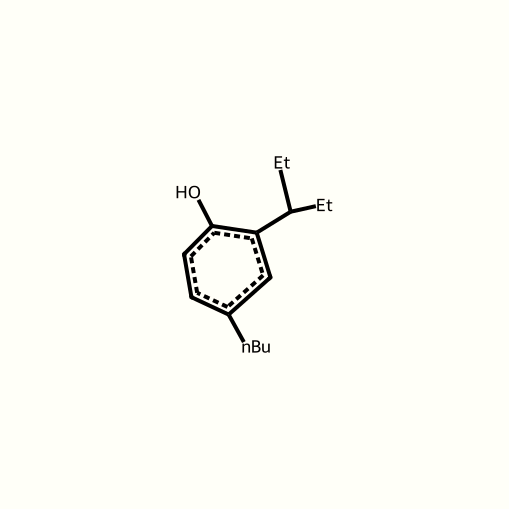 CCCCc1ccc(O)c(C(CC)CC)c1